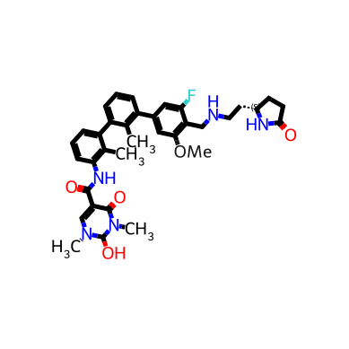 COc1cc(-c2cccc(-c3cccc(NC(=O)C4=CN(C)C(O)N(C)C4=O)c3C)c2C)cc(F)c1CNCC[C@@H]1CCC(=O)N1